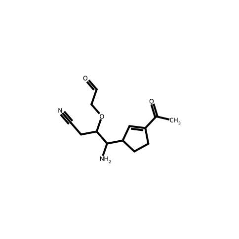 CC(=O)C1=CC(C(N)C(CC#N)OCC=O)CC1